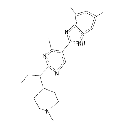 CCC(c1ncc(-c2nc3c(C)cc(C)cc3[nH]2)c(C)n1)C1CCN(C)CC1